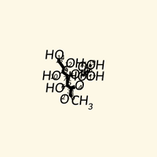 CC(=O)C(=O)[C@H](O)[C@@H](O)[C@H](O)[C@H](O)CO.O=P(O)(O)O